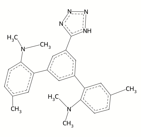 Cc1ccc(N(C)C)c(-c2cc(-c3nnn[nH]3)cc(-c3cc(C)ccc3N(C)C)c2)c1